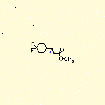 COC(=O)/C=C/C1CCC(F)(F)CC1